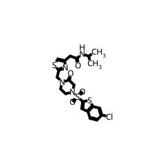 CC(C)NC(=O)Cc1csc(CN2CCN(S(=O)(=O)c3cc4ccc(Cl)cc4s3)CC2=O)n1